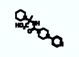 CC(NC(=O)N1CCN(c2ccncc2)CC1)(C(=O)O)N1CCCCC1